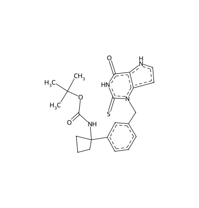 CC(C)(C)OC(=O)NC1(c2cccc(Cn3c(=S)[nH]c(=O)c4[nH]ccc43)c2)CCC1